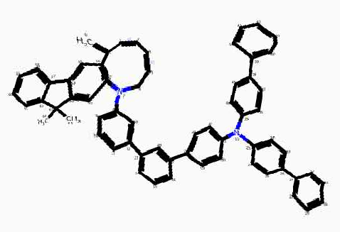 C=C1/C=C\C=C/CN(c2cccc(-c3cccc(-c4ccc(N(c5ccc(-c6ccccc6)cc5)c5ccc(-c6ccccc6)cc5)cc4)c3)c2)c2cc3c(cc21)-c1ccccc1C3(C)C